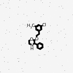 Cc1cc(Cl)cc(CCOC2OCCNC2c2ccccc2)c1